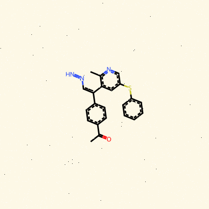 CC(=O)c1ccc(/C(=C/N=N)c2cc(Sc3ccccc3)cnc2C)cc1